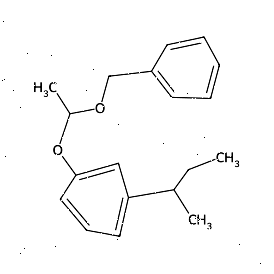 CCC(C)c1cccc(OC(C)OCc2ccccc2)c1